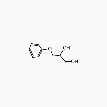 O[CH]C(O)COc1ccccc1